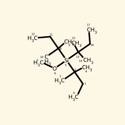 CCC(C)(C)[Si](OC)(C(C)(C)CC)C(C)(C)CC